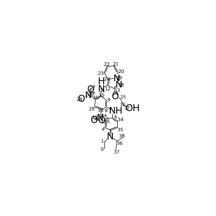 CCN(c1ccc(Nc2cc(Nc3c(OCCO)nn4ccccc34)c([N+](=O)[O-])cc2[N+](=O)[O-])cc1)C(C)C